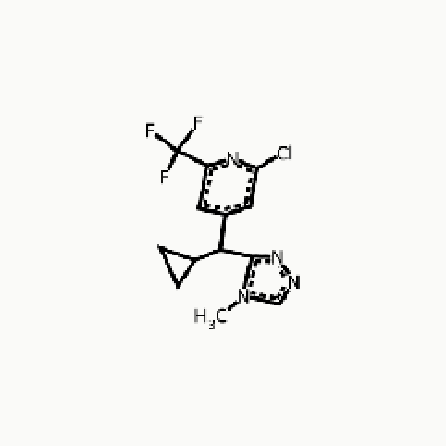 Cn1cnnc1C(c1cc(Cl)nc(C(F)(F)F)c1)C1CC1